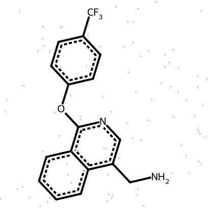 NCc1cnc(Oc2ccc(C(F)(F)F)cc2)c2ccccc12